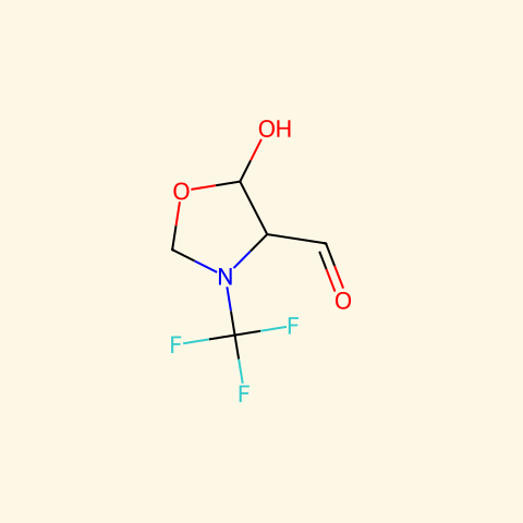 O=CC1C(O)OCN1C(F)(F)F